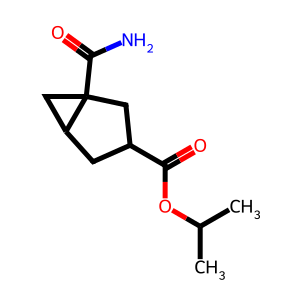 CC(C)OC(=O)C1CC2CC2(C(N)=O)C1